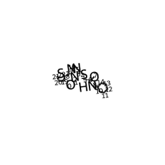 O=Cn1c(SCC(=O)Nc2ccccc2)nnc1-c1cccs1